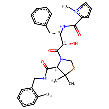 Cn1cccc1C(=O)N[C@@H](Cc1ccccc1)[C@H](O)C(=O)N1CSC(C)(C)[C@H]1C(=O)NCc1ccccc1C(F)(F)F